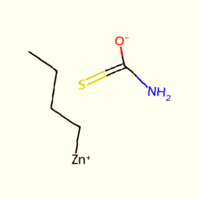 CCC[CH2][Zn+].NC([O-])=S